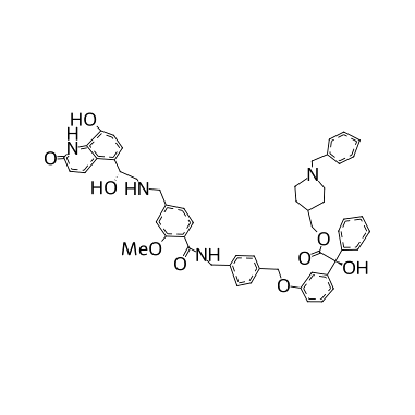 COc1cc(CNC[C@H](O)c2ccc(O)c3[nH]c(=O)ccc23)ccc1C(=O)NCc1ccc(COc2cccc([C@](O)(C(=O)OCC3CCN(Cc4ccccc4)CC3)c3ccccc3)c2)cc1